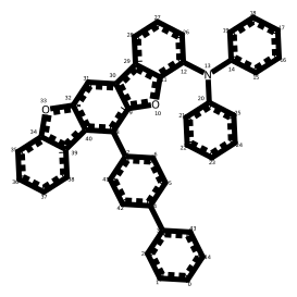 c1ccc(-c2ccc(-c3c4oc5c(N(c6ccccc6)c6ccccc6)cccc5c4cc4oc5ccccc5c34)cc2)cc1